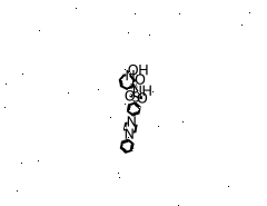 O=C1[C@H](NS(=O)(=O)c2ccc(N3CCN(c4ccccc4)CC3)cc2)CC=CCN1O